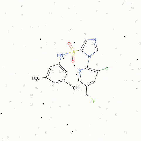 Cc1cc(C)cc(NS(=O)(=O)c2cncn2-c2ncc(CF)cc2Cl)c1